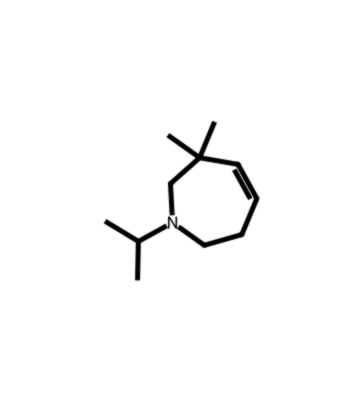 CC(C)N1CCC=CC(C)(C)C1